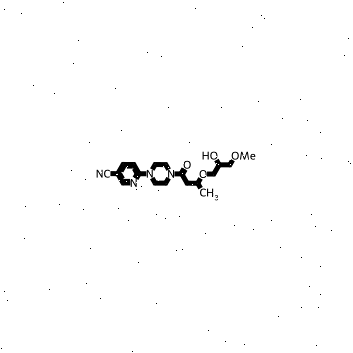 COCC(O)COC(C)CC(=O)N1CCN(c2ccc(C#N)cn2)CC1